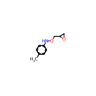 Cc1ccc(NOCC2CO2)cc1